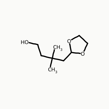 CC(C)(CCO)CC1OCCO1